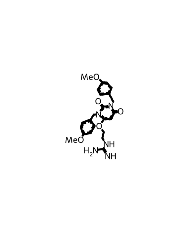 COc1ccc(Cn2c(OCCNC(=N)N)cc(=O)n(Cc3ccc(OC)cc3)c2=O)cc1